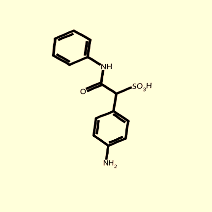 Nc1ccc(C(C(=O)Nc2ccccc2)S(=O)(=O)O)cc1